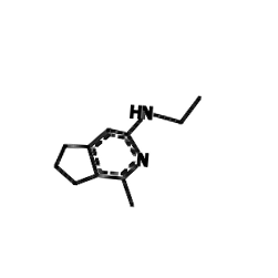 CCNc1cc2c(c(C)n1)CCC2